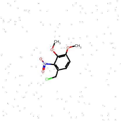 COc1ccc(CCl)c([N+](=O)[O-])c1OC